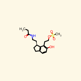 CCC(=O)NCC[C@@H]1CCc2ccc(O)c(CCOS(C)(=O)=O)c21